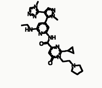 CCNc1cc(-c2c(-c3nncn3C)cnn2C)cc(NC(=O)c2cc(=O)n(CCN3CCCC3)c(C3CC3)n2)n1